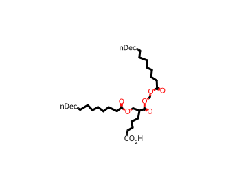 CCCCCCCCCCCCCCCCCC(=O)OCOC(=O)C(CCCCC(=O)O)COC(=O)CCCCCCCCCCCCCCCCC